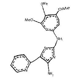 COc1cc(Nc2nc(N)c(-c3ccccn3)s2)cc(OC)c1OC